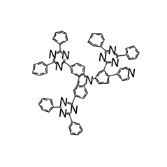 c1ccc(-c2nc(-c3ccccc3)nc(-c3ccc4c(c3)c3cc(-c5nc(-c6ccccc6)nc(-c6ccccc6)n5)ccc3n4-c3ccc(-c4ccncc4)c(-c4nc(-c5ccccc5)nc(-c5ccccc5)n4)c3)n2)cc1